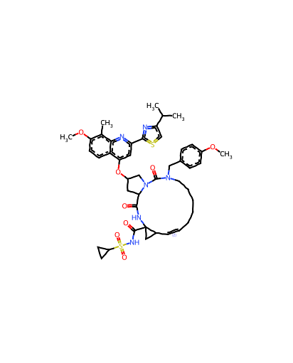 COc1ccc(CN2CCCCC/C=C\C3CC3(C(=O)NS(=O)(=O)C3CC3)NC(=O)C3CC(Oc4cc(-c5nc(C(C)C)cs5)nc5c(C)c(OC)ccc45)CN3C2=O)cc1